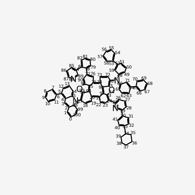 C1=CC2=Cc3c(-c4ccccc4)cccc3N(c3ccc4c5ccc(-c6cccc(-c7ccc(C8CCCCC8)cc7)n6)c6oc7c(N(c8cccc(-c9ccccc9)c8)c8cccc(-c9ccccc9)c8)ccc(c8cc(-c9ccccc9-c9cccnc9)cc9oc3c4c98)c7c65)C2C=C1